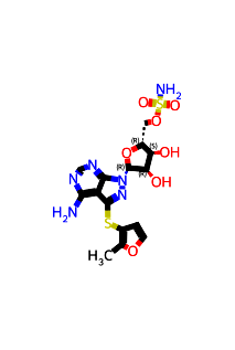 Cc1occc1Sc1nn([C@@H]2O[C@H](COS(N)(=O)=O)[C@@H](O)[C@H]2O)c2ncnc(N)c12